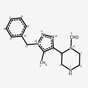 Cc1c(C2CNCCN2C=O)nnn1Cc1ccccc1